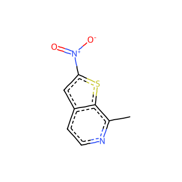 Cc1nccc2cc([N+](=O)[O-])sc12